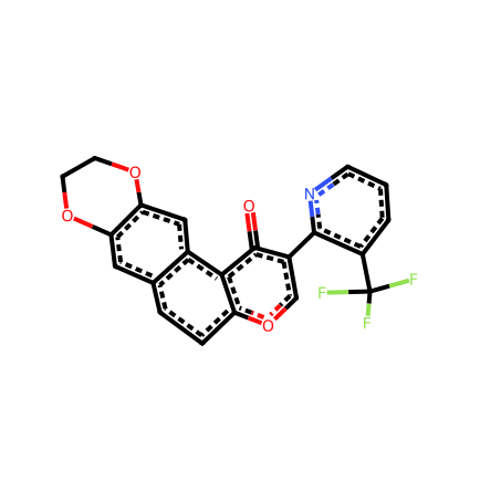 O=c1c(-c2ncccc2C(F)(F)F)coc2ccc3cc4c(cc3c12)OCCO4